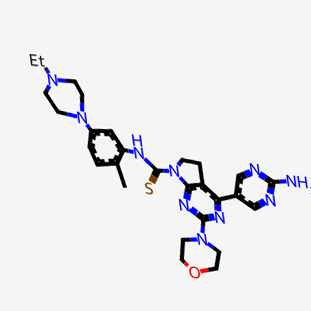 CCN1CCN(c2ccc(C)c(NC(=S)N3CCc4c(-c5cnc(N)nc5)nc(N5CCOCC5)nc43)c2)CC1